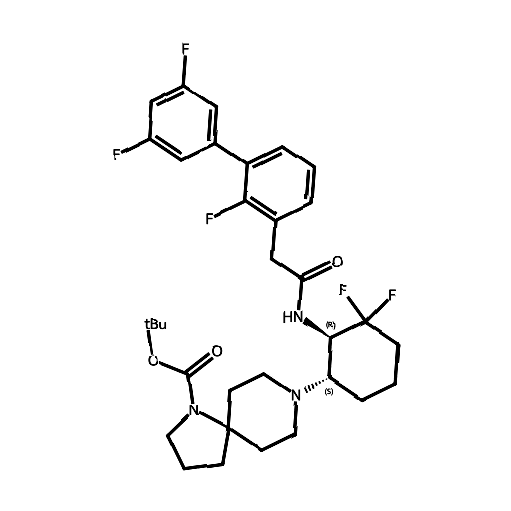 CC(C)(C)OC(=O)N1CCCC12CCN([C@H]1CCCC(F)(F)[C@@H]1NC(=O)Cc1cccc(-c3cc(F)cc(F)c3)c1F)CC2